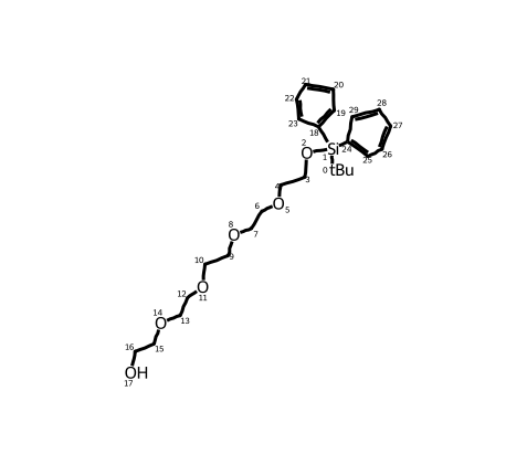 CC(C)(C)[Si](OCCOCCOCCOCCOCCO)(c1ccccc1)c1ccccc1